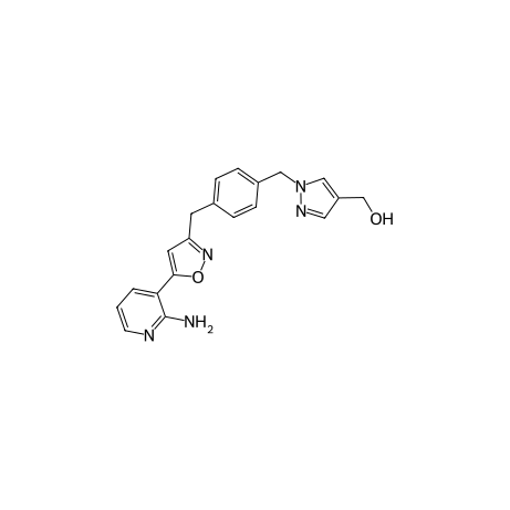 Nc1ncccc1-c1cc(Cc2ccc(Cn3cc(CO)cn3)cc2)no1